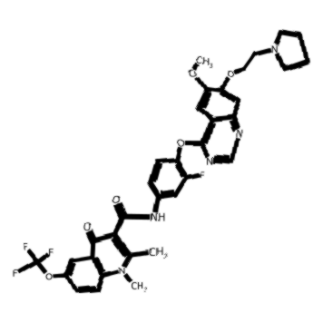 COc1cc2c(Oc3ccc(NC(=O)c4c(C)n(C)c5ccc(OC(F)(F)F)cc5c4=O)cc3F)ncnc2cc1OCCN1CCCC1